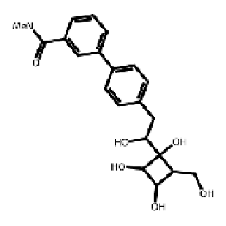 CNC(=O)c1cccc(-c2ccc(CC(O)C3(O)C(O)C(O)C3CO)cc2)c1